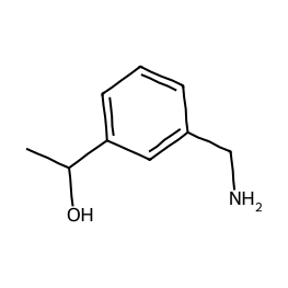 CC(O)c1cccc(CN)c1